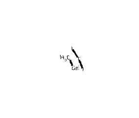 I[I-]I.[CH3][Ge]